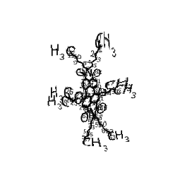 CCCCCCC(CCCCCC)N1C(=O)c2ccc3c4c(OCC(C)C)cc5c6c(cc(OCC(C)C)c(c7ccc(c2c37)C1=O)c64)C(=O)N(C(CCCCCC)CCCCCC)C5=O